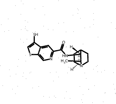 C[C@H]1[C@H](NC(=O)c2cc3c(S)csc3cn2)C2CCN1CC2